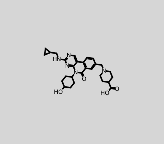 O=C(O)C1CCN(Cc2ccc3c(c2)c(=O)n(C2CCC(O)CC2)c2nc(NCC4CC4)ncc32)CC1